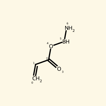 C=CC(=O)OBN